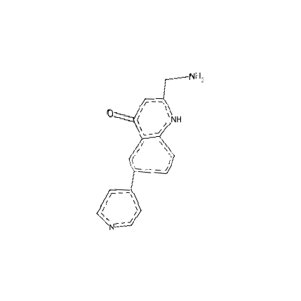 NCc1cc(=O)c2cc(-c3ccncc3)ccc2[nH]1